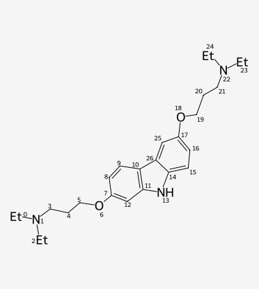 CCN(CC)CCCOc1ccc2c(c1)[nH]c1ccc(OCCCN(CC)CC)cc12